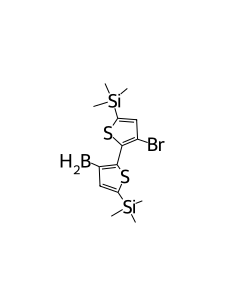 Bc1cc([Si](C)(C)C)sc1-c1sc([Si](C)(C)C)cc1Br